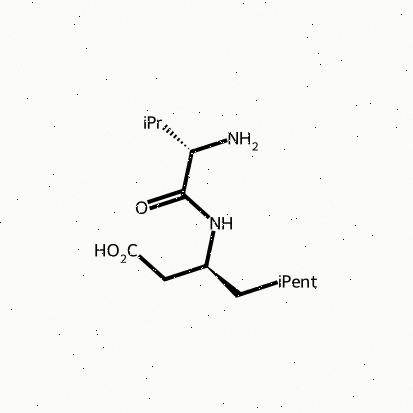 CCCC(C)C[C@@H](CC(=O)O)NC(=O)[C@@H](N)C(C)C